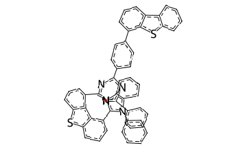 c1ccc(-c2nc(-c3ccc(-c4cccc5c4sc4ccccc45)cc3)nc(-c3cccc4sc5cccc(-c6nc7ccccc7n6-c6ccccc6)c5c34)n2)cc1